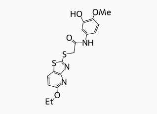 CCOc1ccc2sc(SCC(=O)Nc3ccc(OC)c(O)c3)nc2n1